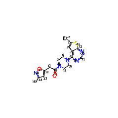 CCc1cc2c(N3CCN(C(=O)Cc4cc(C)no4)CC3)ncnc2s1